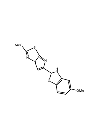 COc1ccc2c(c1)NC(c1cn3nc(OC)sc3n1)O2